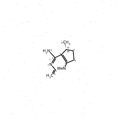 C=C/N=C(/N)C1=C(NC)CC[C@H]1C